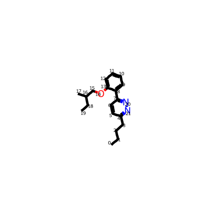 CCCCc1ccc(-c2ccccc2OCC(C)CC)nn1